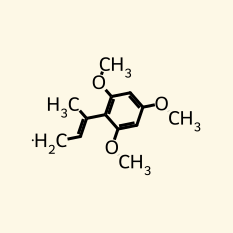 [CH2]C=C(C)c1c(OC)cc(OC)cc1OC